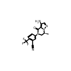 C[C@H]1CN(c2ccc(C(F)(F)F)c(C#N)c2)C(=O)c2c(N)cnn21